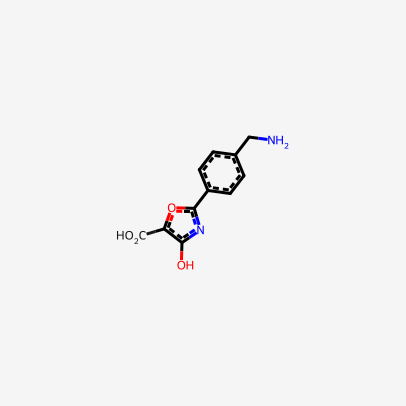 NCc1ccc(-c2nc(O)c(C(=O)O)o2)cc1